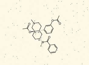 CC(=O)Oc1cccc([C@@]23CCN(C)C[C@@]2(OC(C)=O)CC[C@@H](N(C)C(=O)c2ccccc2)C3)c1